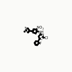 Cn1cc(-c2ccc(Nc3cc(-c4ccccc4F)cc(Cl)n3)c([N+](=O)[O-])c2)cn1